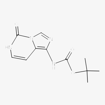 CC(C)(C)OC(=O)Nc1ncn2c(=O)[nH]ccc12